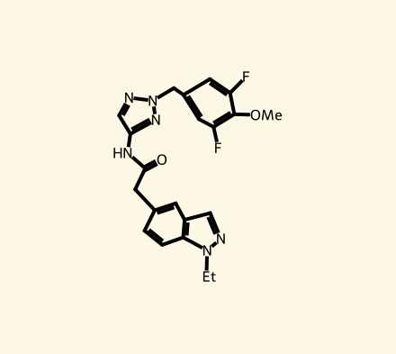 CCn1ncc2cc(CC(=O)Nc3cnn(Cc4cc(F)c(OC)c(F)c4)n3)ccc21